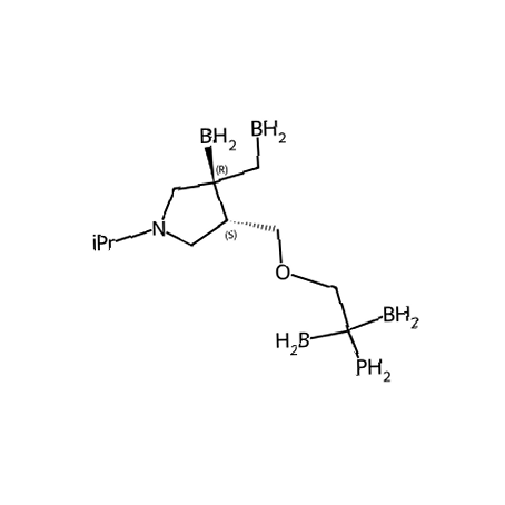 BC[C@@]1(B)CN(C(C)C)C[C@H]1COCC(B)(B)P